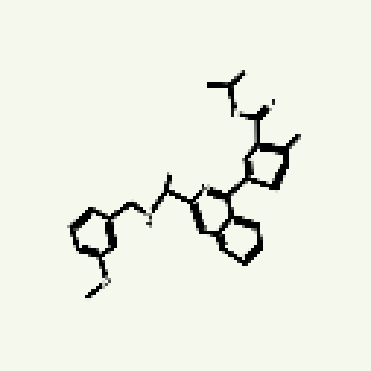 COc1cccc(CNC(C)c2cc3ccccc3c(-c3ccc(C)c(C(=O)OC(C)C)c3)n2)c1